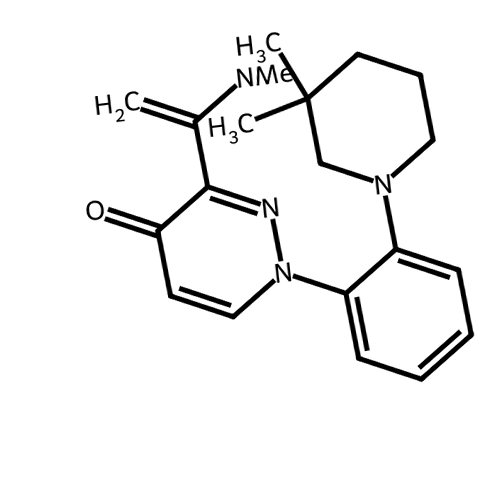 C=C(NC)c1nn(-c2ccccc2N2CCCC(C)(C)C2)ccc1=O